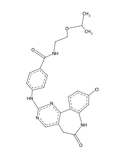 CC(C)OCCNC(=O)c1ccc(Nc2ncc3c(n2)-c2ccc(Cl)cc2NC(=O)C3)cc1